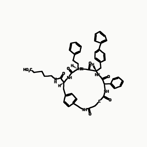 O=C(O)CCCCNC(=O)[C@@H]1Cc2ccc(cc2)NC(=O)CCC(=O)NC(c2ccccc2)C(=O)N[C@@H](Cc2ccc(-c3ccccc3)cc2)C(=O)N[C@H](CCc2ccccc2)C(=O)N1